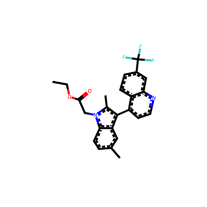 CCOC(=O)Cn1c(C)c(-c2ccnc3cc(C(F)(F)F)ccc23)c2cc(C)ccc21